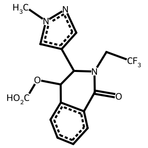 Cn1cc(C2C(OC(=O)O)c3ccccc3C(=O)N2CC(F)(F)F)cn1